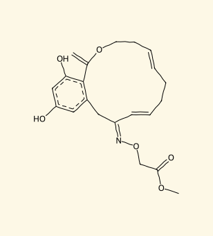 C=C1OCC/C=C/CC/C=C/C(=N\OCC(=O)OC)Cc2cc(O)cc(O)c21